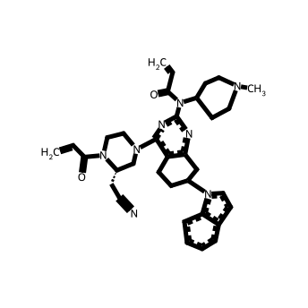 C=CC(=O)N(c1nc2c(c(N3CCN(C(=O)C=C)[C@@H](CC#N)C3)n1)CCC(n1ccc3ccccc31)C2)C1CCN(C)CC1